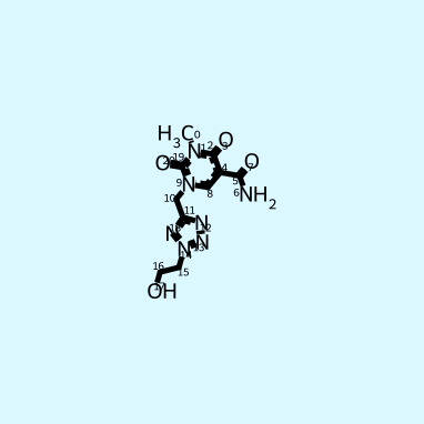 Cn1c(=O)c(C(N)=O)cn(Cc2nnn(CCO)n2)c1=O